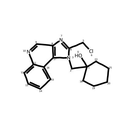 OC1(Cn2c(CCl)nc3cnc4ccccc4c32)CCCCC1